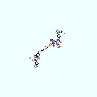 Cc1ncsc1-c1ccc(CNC(=O)[C@@H]2C[C@@H](O)CN2C(=O)C(NC(=O)COCCCOCCCCCOc2ccc(N3C(=S)N(c4ccc(C#N)c(F)c4)C(=O)C3(C)C)cc2)C(C)(C)C)cc1